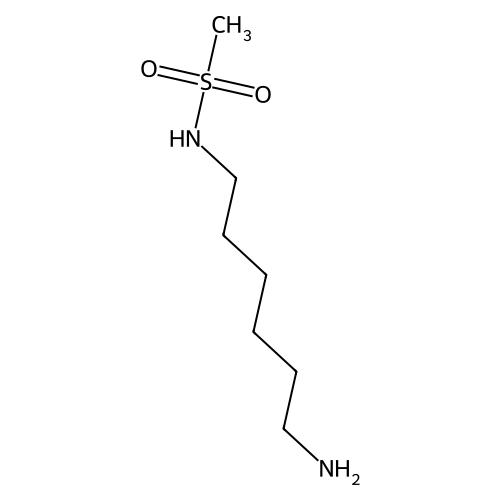 CS(=O)(=O)NCCCCCCN